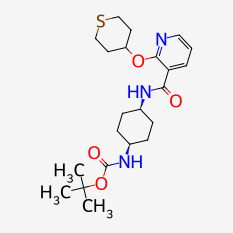 CC(C)(C)OC(=O)N[C@H]1CC[C@@H](NC(=O)c2cccnc2OC2CCSCC2)CC1